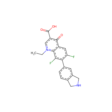 CCn1cc(C(=O)O)c(=O)c2cc(F)c(-c3ccc4c(c3)CNC4)c(F)c21